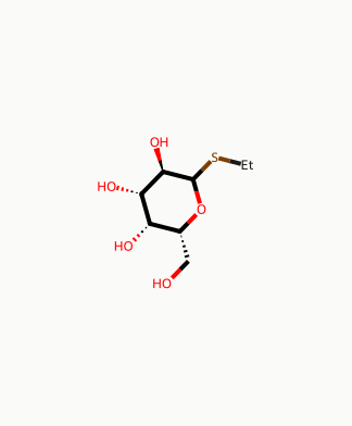 CCSC1O[C@H](CO)[C@H](O)[C@H](O)[C@H]1O